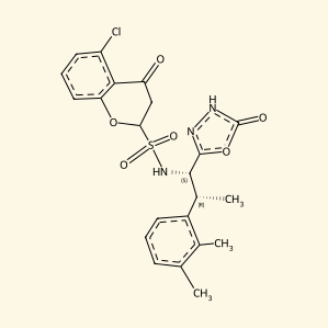 Cc1cccc([C@@H](C)[C@H](NS(=O)(=O)C2CC(=O)c3c(Cl)cccc3O2)c2n[nH]c(=O)o2)c1C